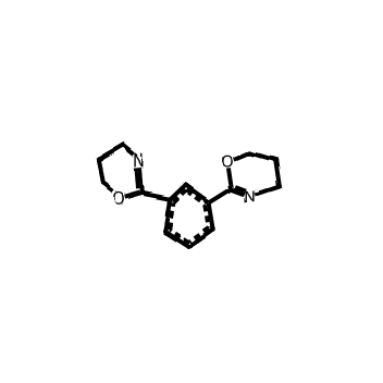 c1cc(C2=NCCCO2)cc(C2=NCCCO2)c1